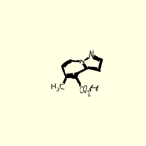 Cc1ccn2nccc2c1C(=O)O